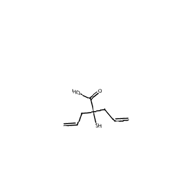 C=CCC(S)(CC=C)C(=O)O